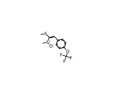 CS/C(=C/c1ccc(OC(F)(F)F)cc1)[S+](C)[O-]